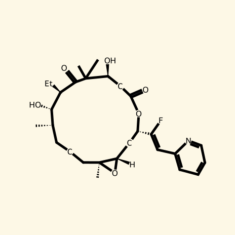 CC[C@H]1C(=O)C(C)(C)[C@@H](O)CC(=O)O[C@H](C(F)=Cc2ccccn2)C[C@@H]2O[C@@]2(C)CCC[C@H](C)[C@@H]1O